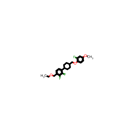 CCOCc1ccc(C2CCC(COc3ccc(OC)cc3F)CC2)c(F)c1F